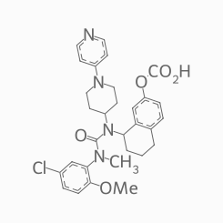 COc1ccc(Cl)cc1N(C)C(=O)N(C1CCN(c2ccncc2)CC1)C1CCCc2ccc(OC(=O)O)cc21